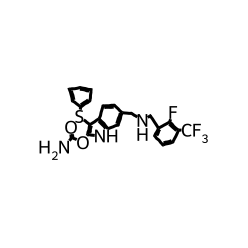 NC(=O)Oc1[nH]c2cc(CNCc3cccc(C(F)(F)F)c3F)ccc2c1Sc1ccccc1